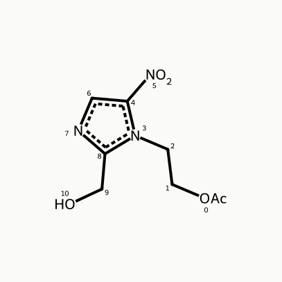 CC(=O)OCCn1c([N+](=O)[O-])cnc1CO